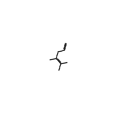 C=CCC(C)=C(C)C